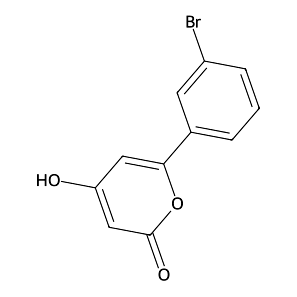 O=c1cc(O)cc(-c2cccc(Br)c2)o1